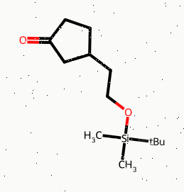 CC(C)(C)[Si](C)(C)OCCC1CCC(=O)C1